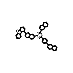 c1ccc2cc(-c3ccc(-c4nc(-c5ccc6ccccc6c5)nc(-c5ccc6ccc(-c7cccc8oc9ccccc9c78)cc6c5)n4)cc3)ccc2c1